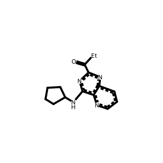 CCC(=O)c1nc(NC2CCCC2)c2ncccc2n1